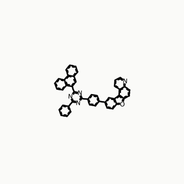 c1ccc(-c2nc(-c3ccc(-c4ccc5oc6ccc7ncccc7c6c5c4)cc3)nc(-c3cc4ccccc4c4ccccc34)n2)cc1